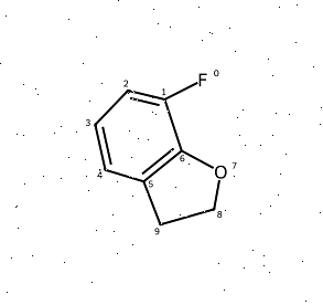 Fc1cc[c]c2c1OCC2